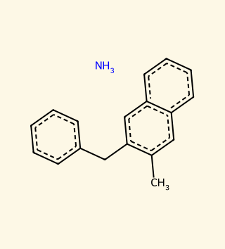 Cc1cc2ccccc2cc1Cc1ccccc1.N